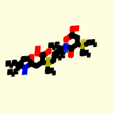 C[SH](C)C(CC(=O)O)C(=O)NC(C)(C)CC[SH](C)C(CC(=O)NC(C)(C)C)C(=O)O